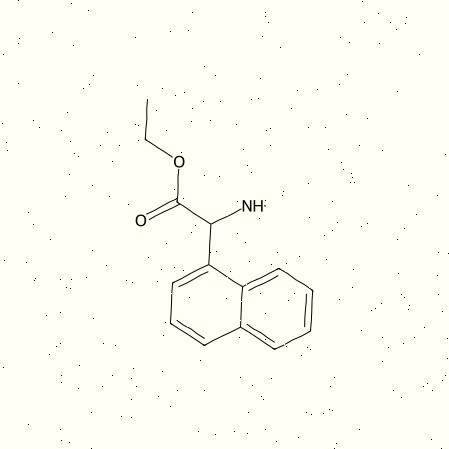 CCOC(=O)C([NH])c1cccc2ccccc12